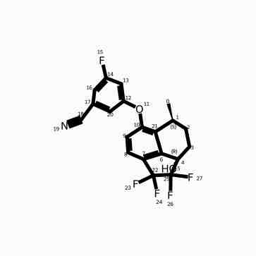 C[C@H]1CC[C@@]2(O)c3c(ccc(Oc4cc(F)cc(C#N)c4)c31)C(F)(F)C2(F)F